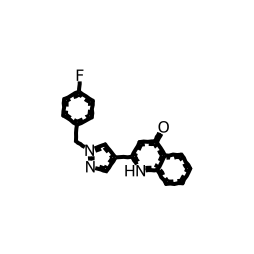 O=c1cc(-c2cnn(Cc3ccc(F)cc3)c2)[nH]c2ccccc12